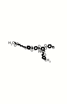 C=CC(=O)OCCCCCCOc1ccc(OC(=O)[C@H]2CC[C@H](C(=O)OC3=CC=C(OC(=O)[C@H]4CC[C@H](C=O)CC4)C4SC(C5=CC6C=CC(C)=CC6O5)NC34)CC2)cc1